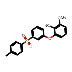 COc1cccc(Oc2cccc(S(=O)(=O)c3ccc(C)cc3)c2)c1C#N